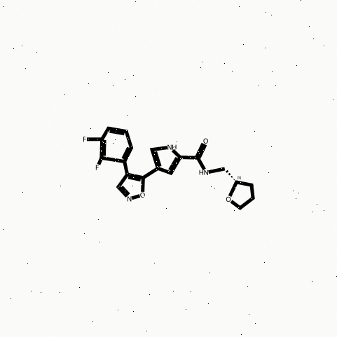 O=C(NC[C@@H]1CCCO1)c1cc(-c2oncc2-c2cccc(F)c2F)c[nH]1